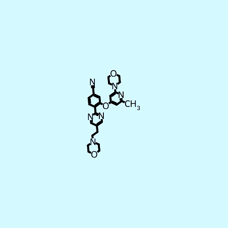 Cc1cc(Oc2cc(C#N)ccc2-c2ncc(CCN3CCOCC3)cn2)cc(N2CCOCC2)n1